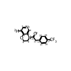 [2H]c1cncc2c1OCCN2C(=O)Cc1ccc(C(F)(F)F)cc1